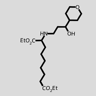 CCOC(=O)CCCCCCC(NCCC(O)C1CCOCC1)C(=O)OCC